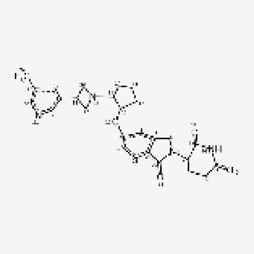 O=C1CCC(N2Cc3cc(OC4CCCC4N4CC(c5cncc(C(F)(F)F)c5)C4)ccc3C2=O)C(=O)N1